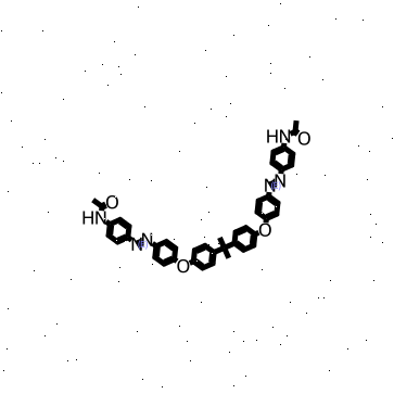 CC(=O)Nc1ccc(/N=N/c2ccc(Oc3ccc(C(C)(C)c4ccc(Oc5ccc(/N=N/c6ccc(NC(C)=O)cc6)cc5)cc4)cc3)cc2)cc1